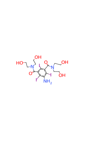 Nc1c(I)c(C(=O)N(CCO)CCO)c(I)c(C(=O)N(CCO)CCO)c1I